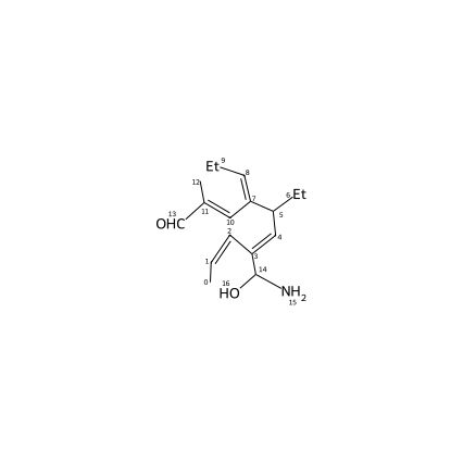 C/C=C\C(=C/C(CC)C(=C/CC)/C=C(\C)C=O)C(N)O